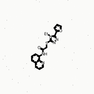 CCn1c(SCC(=O)Nc2cccc3cccnc23)nnc1-c1ccco1